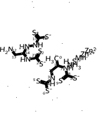 CC(CNC(=S)[S-])NC(=S)[S-].N.NCC(NNC(=S)[S-])NC(=S)[S-].S.[Mn].[Zn+2].[Zn+2]